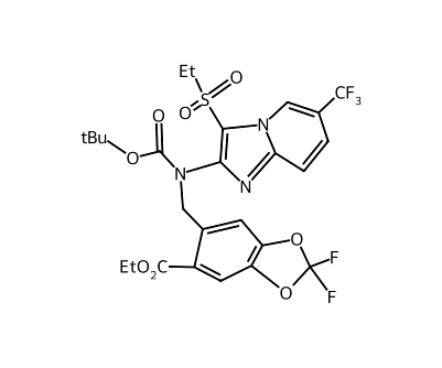 CCOC(=O)c1cc2c(cc1CN(C(=O)OC(C)(C)C)c1nc3ccc(C(F)(F)F)cn3c1S(=O)(=O)CC)OC(F)(F)O2